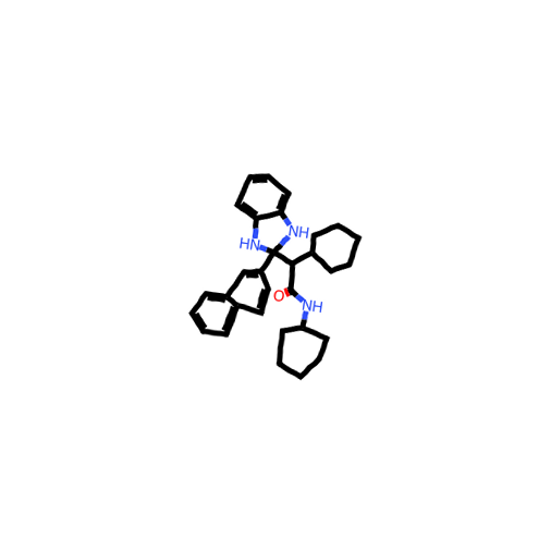 O=C(NC1CCCCC1)C(C1CCCCC1)C1(c2ccc3ccccc3c2)Nc2ccccc2N1